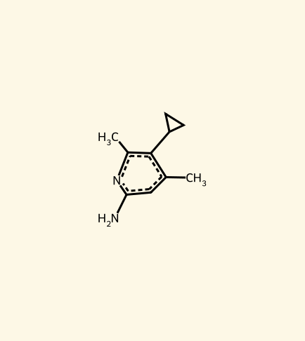 Cc1cc(N)nc(C)c1C1CC1